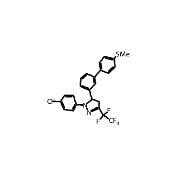 CSc1ccc(-c2cccc(C3CC(C(F)(F)C(F)(F)F)=NN3c3ccc(Cl)cc3)c2)cc1